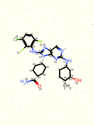 C[C@@H]1CCC(Nc2ncc3nc(Nc4c(F)ccc(Cl)c4F)n([C@H]4CC[C@@H](C(N)=O)CC4)c3n2)C[C@H]1O